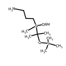 CO[Si](C)(CCCN)C(C)(C)O[Si](C)(C)C